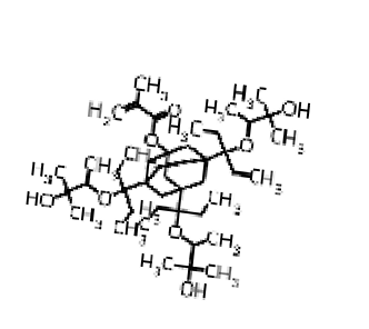 C=C(C)C(=O)OC12CC3(C(CC)(CC)OC(C)C(C)(C)O)CC(C(CC)(CC)OC(C)C(C)(C)O)(C1)CC(C(CC)(CC)OC(C)C(C)(C)O)(C2)C3